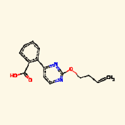 C=CCCOc1nccc(-c2ccccc2C(=O)O)n1